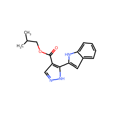 CC(C)COC(=O)c1cn[nH]c1-c1cc2ccccc2[nH]1